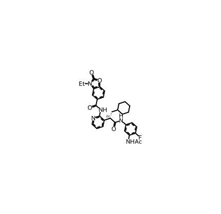 CCn1c(=O)oc2ccc(C(=O)Nc3ncccc3[C@H](CC3CCCCC3)C(=O)Nc3ccc(F)c(NC(C)=O)c3)cc21